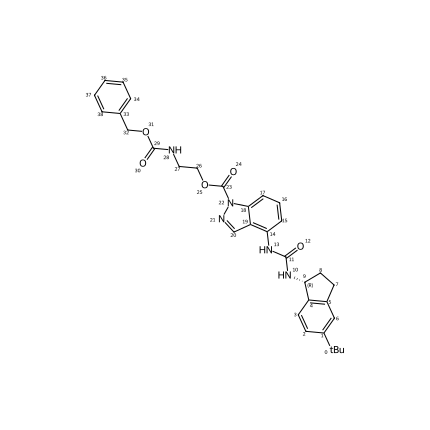 CC(C)(C)c1ccc2c(c1)CC[C@H]2NC(=O)Nc1cccc2c1cnn2C(=O)OCCNC(=O)OCc1ccccc1